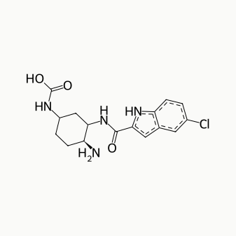 N[C@H]1CCC(NC(=O)O)CC1NC(=O)c1cc2cc(Cl)ccc2[nH]1